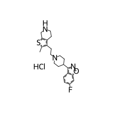 Cc1sc2c(c1CCN1CCC(c3noc4cc(F)ccc34)CC1)CCNC2.Cl